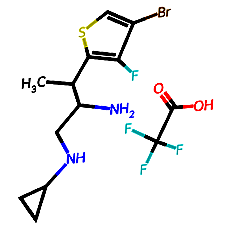 CC(c1scc(Br)c1F)C(N)CNC1CC1.O=C(O)C(F)(F)F